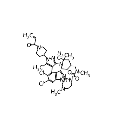 C=CC(=O)N1CCC(n2nc(N3CC[C@@H](CN(C)S(=O)(=O)N4CCN(C)CC4)CC3(C)C)c(-c3c(Cl)c(Cl)cc4[nH]ncc34)c2C)CC1